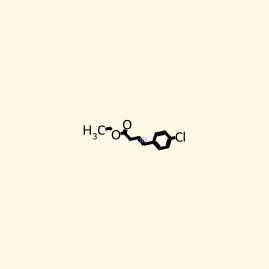 CCOC(=O)C/C=C/c1ccc(Cl)cc1